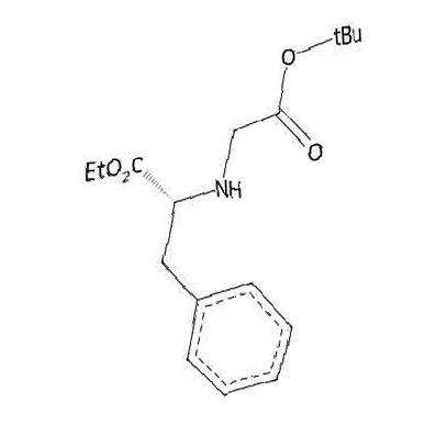 CCOC(=O)[C@@H](Cc1ccccc1)NCC(=O)OC(C)(C)C